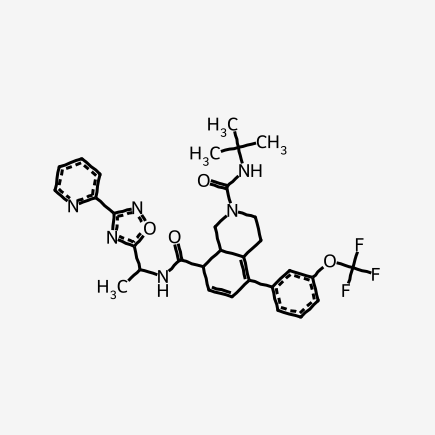 CC(NC(=O)C1C=CC(c2cccc(OC(F)(F)F)c2)=C2CCN(C(=O)NC(C)(C)C)CC21)c1nc(-c2ccccn2)no1